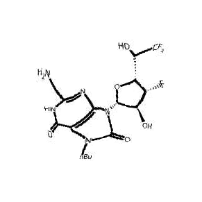 CCCCn1c(=O)n([C@@H]2O[C@H](C(O)C(F)(F)F)[C@H](F)[C@H]2O)c2nc(N)[nH]c(=O)c21